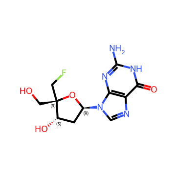 Nc1nc2c(ncn2[C@H]2C[C@H](O)[C@](CO)(CF)O2)c(=O)[nH]1